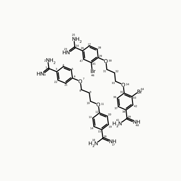 N=C(N)c1ccc(OCCCOc2ccc(C(=N)N)cc2)cc1.N=C(N)c1ccc(OCCCOc2ccc(C(=N)N)cc2Br)c(Br)c1